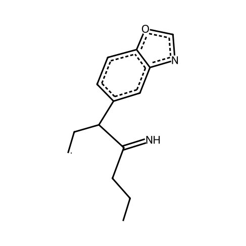 [CH2]CC(C(=N)CCC)c1ccc2ocnc2c1